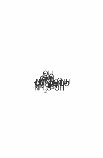 Nc1ncnc2c1ncn2[C@@H]1O[C@H](CO)C(OP(=O)(O)OC[C@H]2O[C@@H](n3ccc(=O)[nH]c3=O)C(O)C2OP(=O)(O)O)C1O